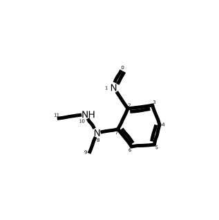 C=Nc1ccccc1N(C)NC